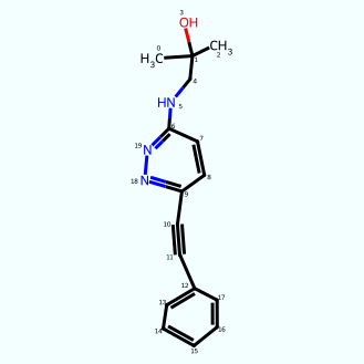 CC(C)(O)CNc1ccc(C#Cc2ccccc2)nn1